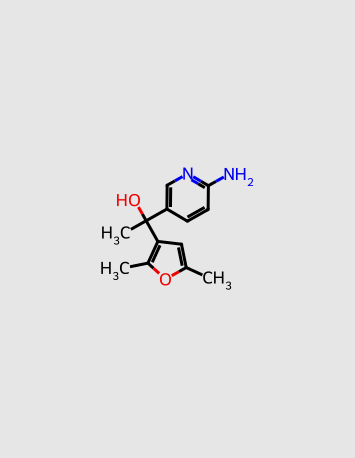 Cc1cc(C(C)(O)c2ccc(N)nc2)c(C)o1